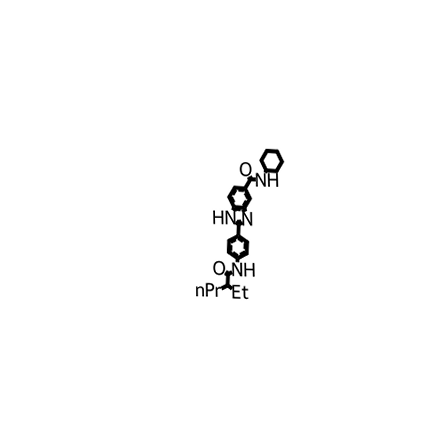 CCCC(CC)C(=O)Nc1ccc(-c2nc3cc(C(=O)NC4CCCCC4)ccc3[nH]2)cc1